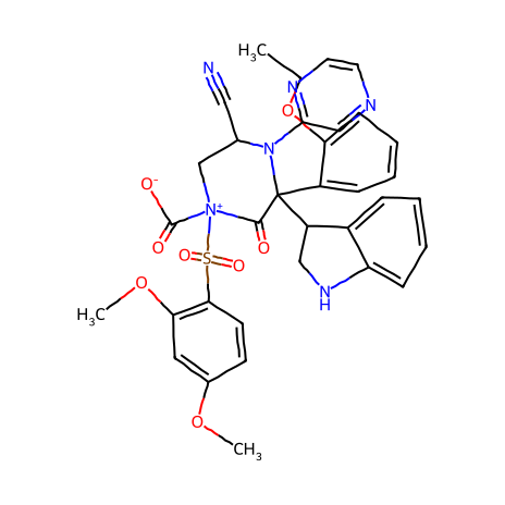 CCOc1ccccc1C1(C2CNc3ccccc32)C(=O)[N+](C(=O)[O-])(S(=O)(=O)c2ccc(OC)cc2OC)CC(C#N)N1c1cnccn1